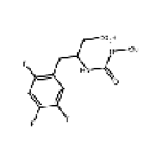 CC(C)(C)OC(=O)NC(CC(=O)O)Cc1cc(F)c(F)cc1F